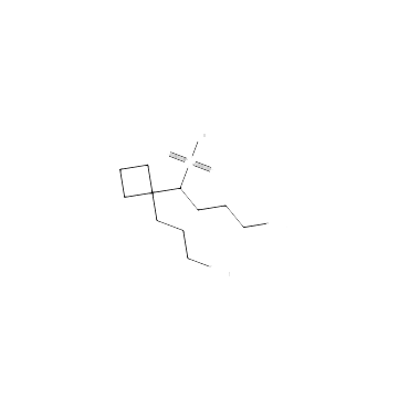 CCCCC(C1(CCCC)CCC1)S(=O)(=O)O